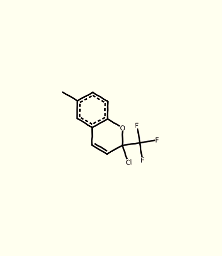 Cc1ccc2c(c1)C=CC(Cl)(C(F)(F)F)O2